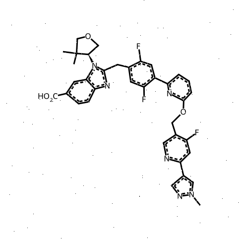 Cn1cc(-c2cc(F)c(COc3cccc(-c4cc(F)c(Cc5nc6ccc(C(=O)O)cc6n5[C@@H]5COCC5(C)C)cc4F)n3)cn2)cn1